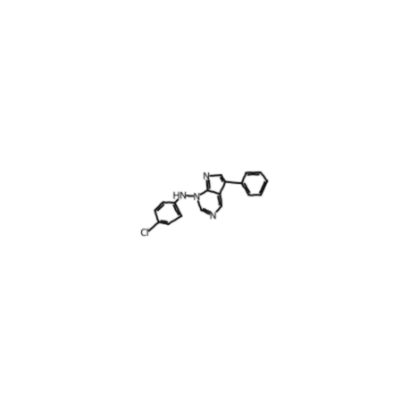 Clc1ccc(Nn2cncc3c(-c4ccccc4)cnc2-3)cc1